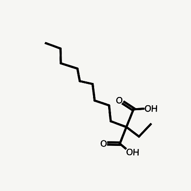 CCCCCCCCCC(CC)(C(=O)O)C(=O)O